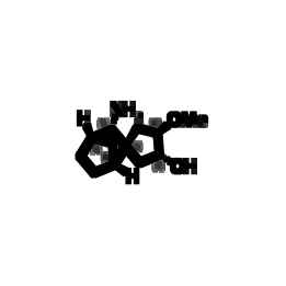 CO[C@@H]1C[C@@]2(C[C@H]1O)[C@@H]1CC[C@@H](C1)[C@@H]2N